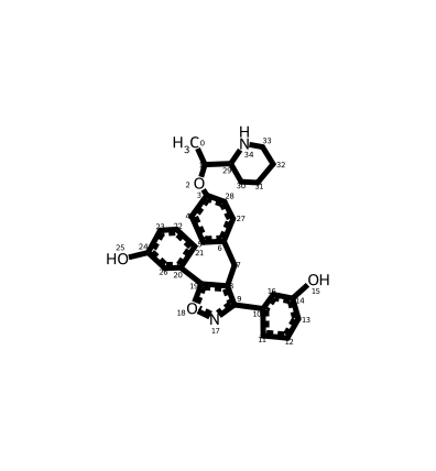 CC(Oc1ccc(Cc2c(-c3cccc(O)c3)noc2-c2cccc(O)c2)cc1)C1CCCCN1